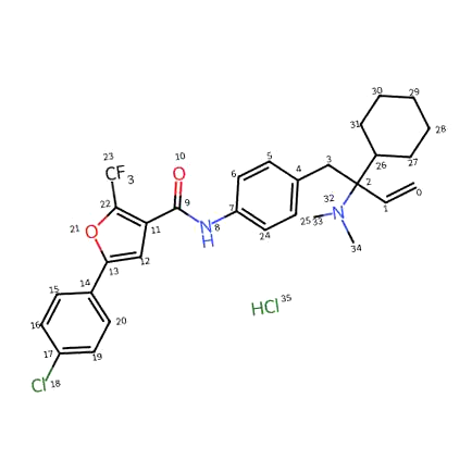 C=CC(Cc1ccc(NC(=O)c2cc(-c3ccc(Cl)cc3)oc2C(F)(F)F)cc1)(C1CCCCC1)N(C)C.Cl